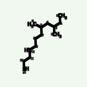 CC[C@@H](C)CC(C)CCCNCCS